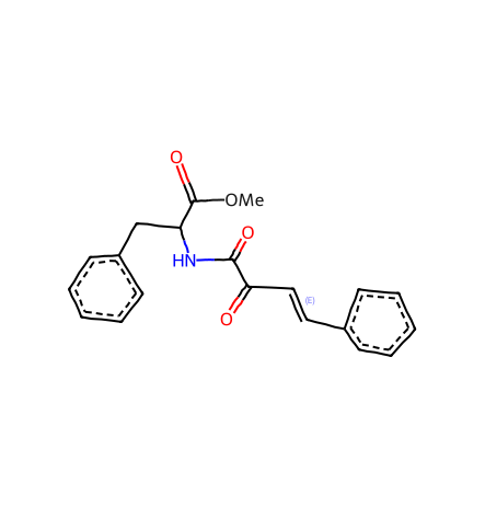 COC(=O)C(Cc1ccccc1)NC(=O)C(=O)/C=C/c1ccccc1